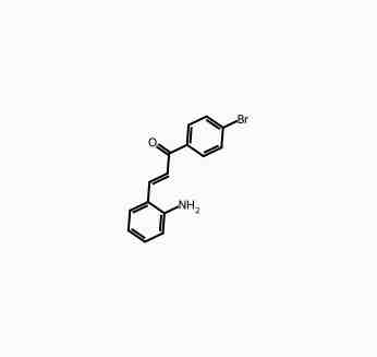 Nc1ccccc1C=CC(=O)c1ccc(Br)cc1